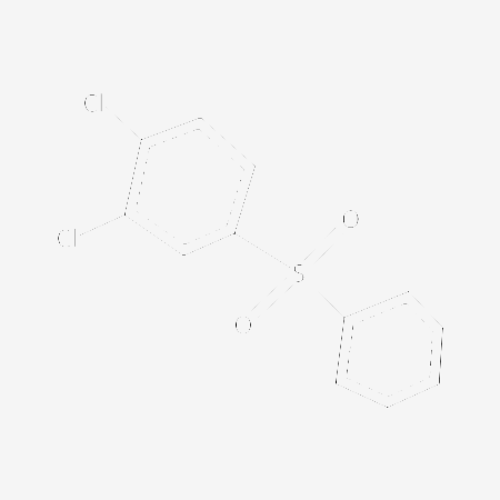 O=S(=O)(c1[c]cccc1)c1ccc(Cl)c(Cl)c1